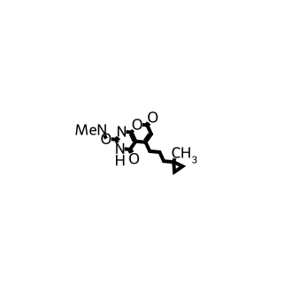 CNOc1nc2oc(=O)cc(CCCC3(C)CC3)c2c(=O)[nH]1